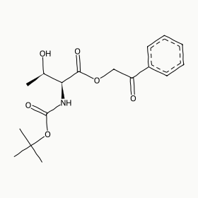 C[C@@H](O)[C@H](NC(=O)OC(C)(C)C)C(=O)OCC(=O)c1ccccc1